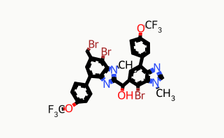 Cn1cnc2c(-c3ccc(OC(F)(F)F)cc3)cc(C(O)c3nc4c(-c5ccc(OC(F)(F)F)cc5)cc(CBr)c(Br)c4n3C)c(Br)c21